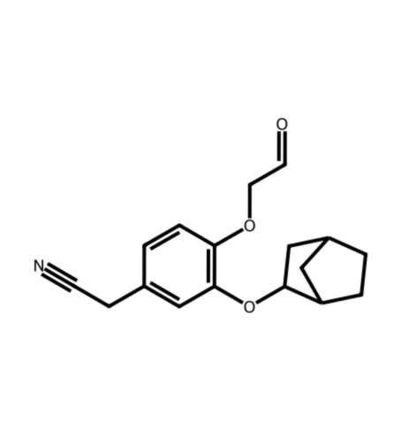 N#CCc1ccc(OCC=O)c(OC2CC3CCC2C3)c1